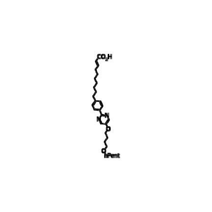 CCCCCOCCCCOc1cnc(-c2ccc(CCCCCCC/C=C/C(=O)O)cc2)nc1